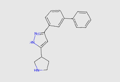 c1ccc(-c2cccc(-c3cc(C4CCNC4)[nH]n3)c2)cc1